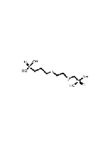 O=P(O)(O)CCCOCCOCP(=O)(O)O